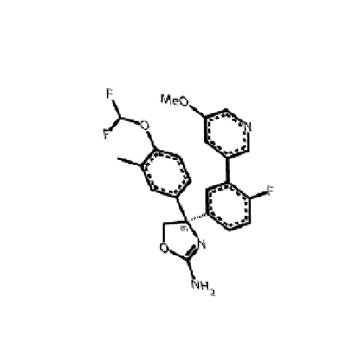 COc1cncc(-c2cc([C@@]3(c4ccc(OC(F)F)c(C)c4)COC(N)=N3)ccc2F)c1